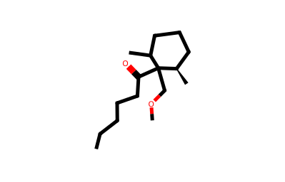 CCCCCC(=O)C1(COC)C(C)CCC[C@H]1C